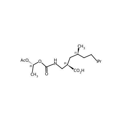 CC(=O)O[C@@H](C)OC(=O)NC[C@@H](C[C@@H](C)CCC(C)C)C(=O)O